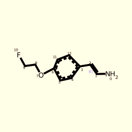 N/C=C/c1ccc(OCCF)cc1